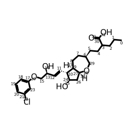 CCCC(CC[C@@H]1CC[C@@H]2[C@@H](/C=C/[C@H](O)COc3cccc(Cl)c3)[C@H](O)C[C@@H]2OC1)C(=O)O